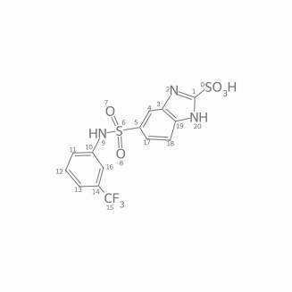 O=S(=O)(O)c1nc2cc(S(=O)(=O)Nc3cccc(C(F)(F)F)c3)ccc2[nH]1